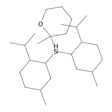 CC1CCC(C(C)C)C([SiH](C2CC(C)CCC2C(C)C)C2(C)CCCCO2)C1